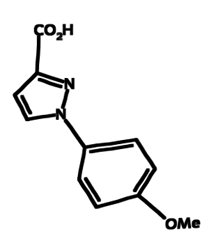 COc1ccc(-n2ccc(C(=O)O)n2)cc1